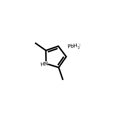 Cc1ccc(C)[nH]1.[PbH2]